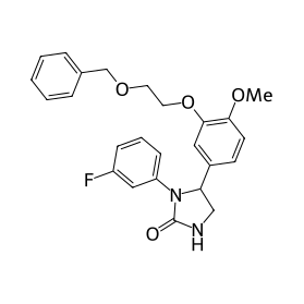 COc1ccc(C2CNC(=O)N2c2cccc(F)c2)cc1OCCOCc1ccccc1